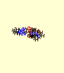 [2H]c1nc(C(=O)N2C([2H])([2H])C([2H])([2H])N(C(=O)C(=O)c3c[nH]c4c(-n5cnc(C([2H])([2H])[2H])n5)ncc(OC)c34)C([2H])([2H])C2([2H])[2H])c([2H])c([2H])c1C